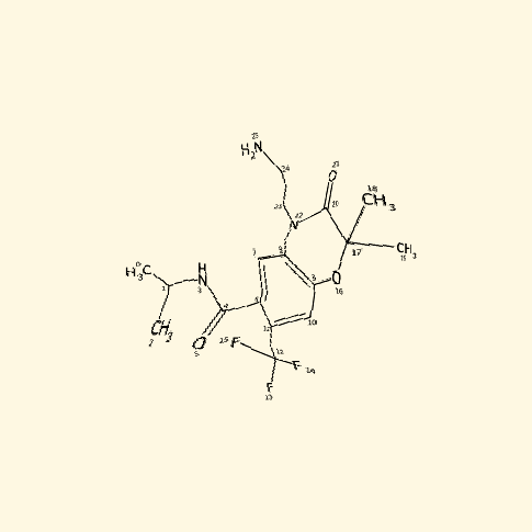 CC(C)NC(=O)c1cc2c(cc1C(F)(F)F)OC(C)(C)C(=O)N2CCN